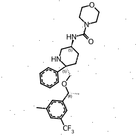 Cc1cc([C@@H](C)OC[C@@]2(c3ccccc3)CC[C@H](NC(=O)N3CCOCC3)CN2)cc(C(F)(F)F)c1